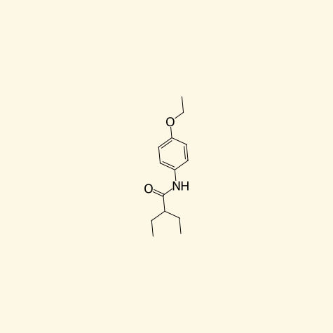 CCOc1ccc(NC(=O)C(CC)CC)cc1